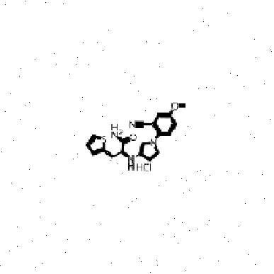 COc1ccc(N2CC[C@H](N[C@@H](Cc3cccs3)C(N)=O)C2)c(C#N)c1.Cl